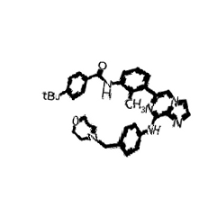 Cc1c(NC(=O)c2ccc(C(C)(C)C)cc2)cccc1-c1cn2ccnc2c(Nc2ccc(CN3CCOCC3)cc2)n1